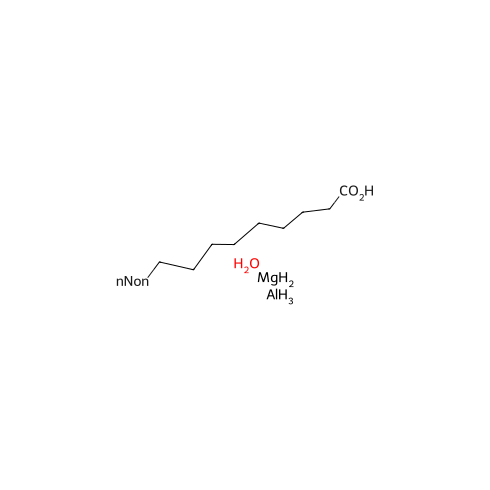 CCCCCCCCCCCCCCCCCC(=O)O.O.[AlH3].[MgH2]